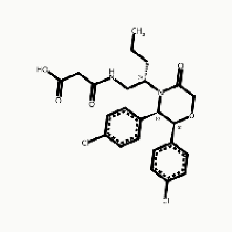 CCC[C@@H](CNC(=O)CC(=O)O)N1C(=O)CO[C@@H](c2ccc(Cl)cc2)[C@H]1c1ccc(Cl)cc1